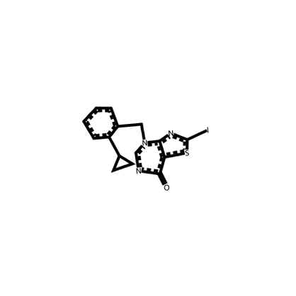 O=c1ncn(Cc2ccccc2C2CC2)c2nc(I)sc12